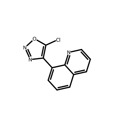 Clc1onnc1-c1cccc2cccnc12